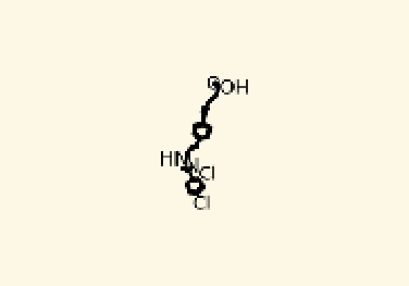 O=C(O)CCC#Cc1ccc(/C=C/c2nc(-c3ccc(Cl)cc3Cl)c[nH]2)cc1